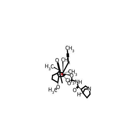 CC#CC[C@]1(C)C[C@@H](OC(=O)NC(=O)[C@H]2CN3CC[C@@H]2C3)[C@@]2(C)C3[C@H](OC)CCC3(CC[C@H]2C)[C@@H](C)C1=O